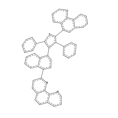 c1ccc(-c2sc(-c3cc4ccccc4c4ccccc34)c(-c3ccccc3)c2-c2ccc(-c3ccc4ccc5cccnc5c4n3)c3ccccc23)cc1